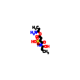 CCC(O)NC(=O)C(CC(=O)OC(N)CC)S(=O)(=O)O